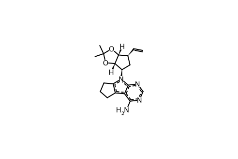 C=C[C@H]1C[C@@H](n2c3c(c4c(N)ncnc42)CCC3)[C@@H]2OC(C)(C)O[C@@H]21